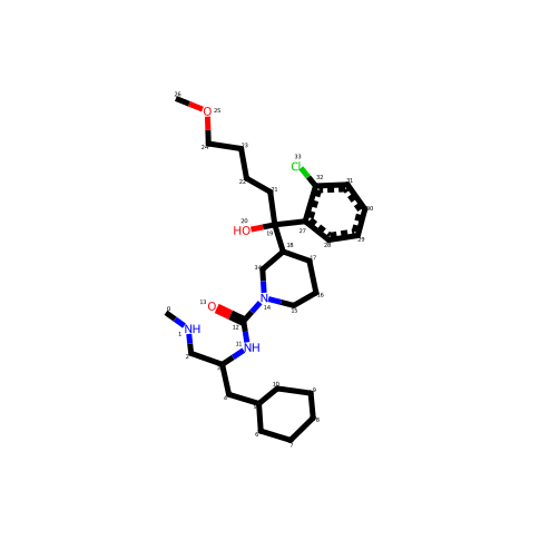 CNCC(CC1CCCCC1)NC(=O)N1CCCC(C(O)(CCCCOC)c2ccccc2Cl)C1